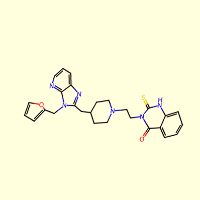 O=c1c2ccccc2[nH]c(=S)n1CCN1CCC(Cc2nc3cccnc3n2Cc2ccco2)CC1